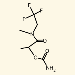 CC(OC(N)=O)C(=O)N(C)CC(F)(F)F